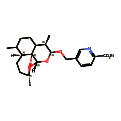 CCOC(=O)c1ccc(CO[C@H]2O[C@@H]3O[C@]4(C)CC[C@H]5C(C)CCC([C@H]2C)[C@@]35OO4)cn1